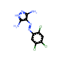 Nc1n[nH]c(N)c1N=Nc1cc(Cl)c(Cl)cc1Cl